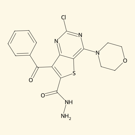 NNC(=O)c1sc2c(N3CCOCC3)nc(Cl)nc2c1C(=O)c1ccccc1